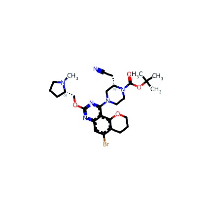 CN1CCC[C@H]1COc1nc(N2CCN(C(=O)OC(C)(C)C)[C@@H](CC#N)C2)c2c3c(c(Br)cc2n1)CCCO3